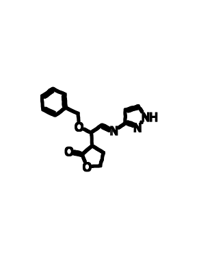 O=C1OCCC1C(C=Nc1cc[nH]n1)OCc1ccccc1